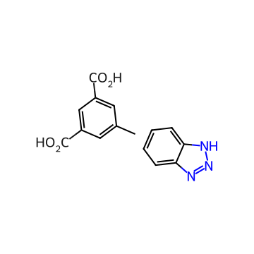 Cc1cc(C(=O)O)cc(C(=O)O)c1.c1ccc2[nH]nnc2c1